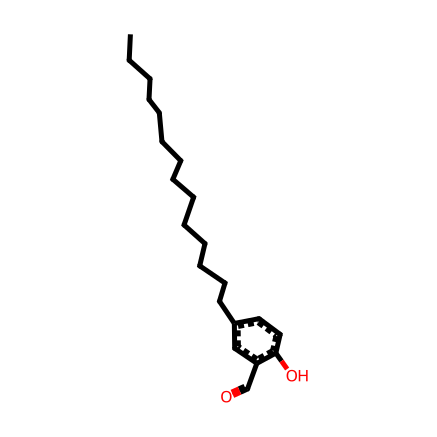 CCCCCCCCCCCCCCc1ccc(O)c(C=O)c1